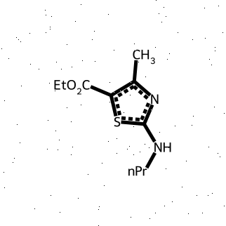 CCCNc1nc(C)c(C(=O)OCC)s1